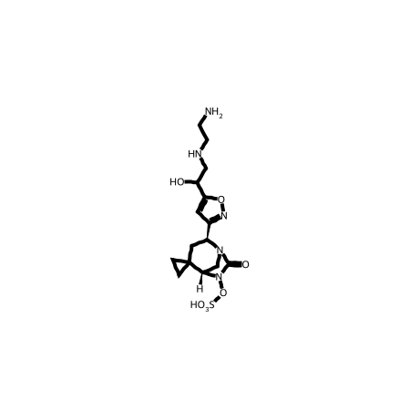 NCCNCC(O)c1cc([C@@H]2CC3(CC3)[C@@H]3CN2C(=O)N3OS(=O)(=O)O)no1